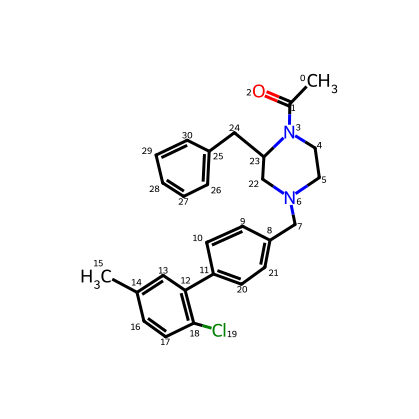 CC(=O)N1CCN(Cc2ccc(-c3cc(C)ccc3Cl)cc2)CC1Cc1ccccc1